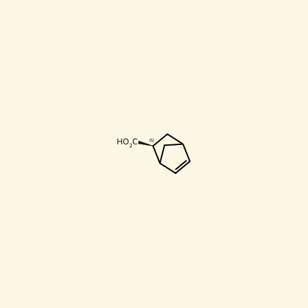 O=C(O)[C@H]1CC2C=CC1C2